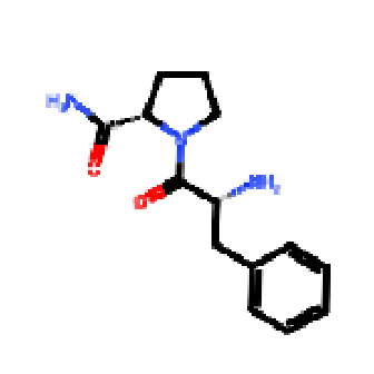 NC(=O)[C@@H]1CCCN1C(=O)[C@H](N)Cc1ccccc1